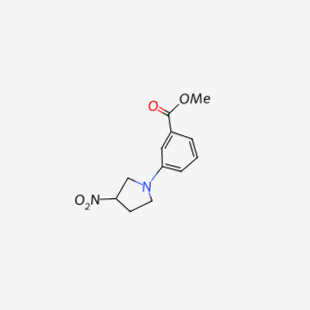 COC(=O)c1cccc(N2CCC([N+](=O)[O-])C2)c1